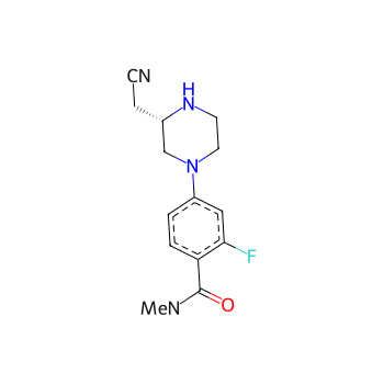 CNC(=O)c1ccc(N2CCN[C@@H](CC#N)C2)cc1F